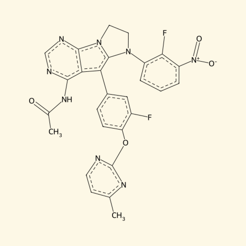 CC(=O)Nc1ncnc2c1c(-c1ccc(Oc3nccc(C)n3)c(F)c1)c1n2CCN1c1cccc([N+](=O)[O-])c1F